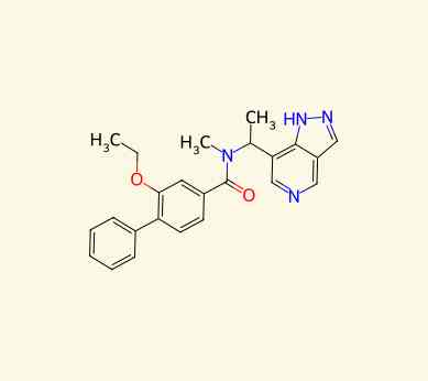 CCOc1cc(C(=O)N(C)C(C)c2cncc3cn[nH]c23)ccc1-c1ccccc1